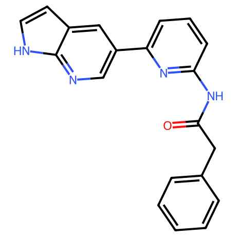 O=C(Cc1ccccc1)Nc1cccc(-c2cnc3[nH]ccc3c2)n1